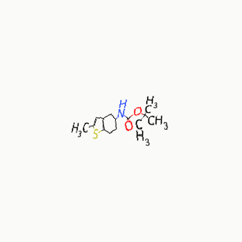 Cc1cc2c(s1)CCC(NC(=O)OC(C)(C)C)C2